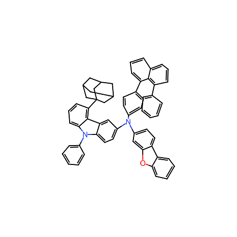 c1ccc(-c2cccc3cccc(-c4ccc(N(c5ccc6c(c5)oc5ccccc56)c5ccc6c(c5)c5c(C78CC9CC(CC(C9)C7)C8)cccc5n6-c5ccccc5)cc4)c23)cc1